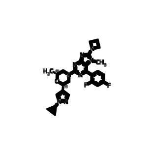 C[C@@H]1CN(c2nc(-c3ccc(F)cc3F)c3c(n2)nc(N2CCC2)n3C)C[C@@H](c2cnn(C3CC3)c2)O1